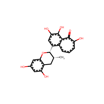 C[C@@H]1Cc2c(O)cc(O)cc2O[C@@H]1c1cc(O)c(O)c2c(=O)c(O)cccc12